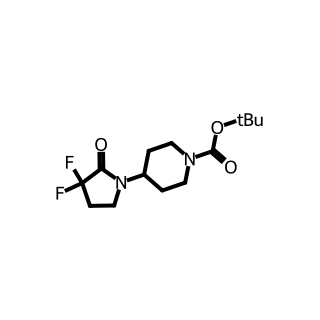 CC(C)(C)OC(=O)N1CCC(N2CCC(F)(F)C2=O)CC1